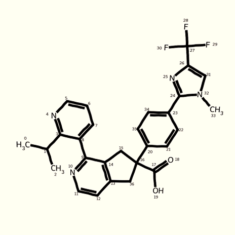 CC(C)c1ncccc1-c1nccc2c1CC(C(=O)O)(c1ccc(-c3nc(C(F)(F)F)cn3C)cc1)C2